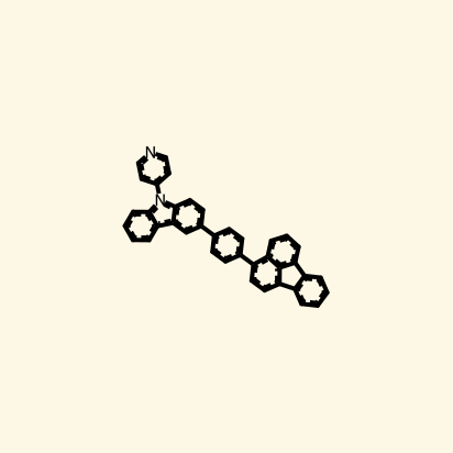 c1ccc2c(c1)-c1cccc3c(-c4ccc(-c5ccc6c(c5)c5ccccc5n6-c5ccncc5)cc4)ccc-2c13